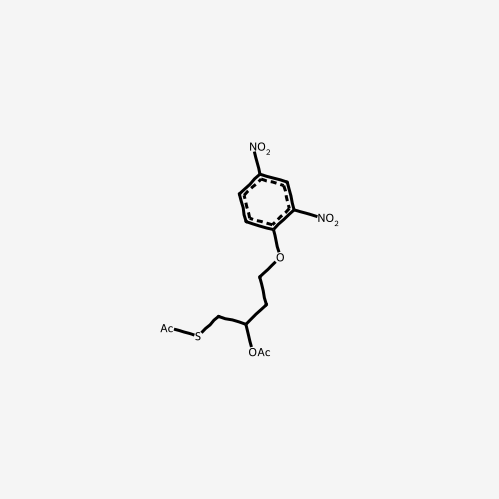 CC(=O)OC(CCOc1ccc([N+](=O)[O-])cc1[N+](=O)[O-])CSC(C)=O